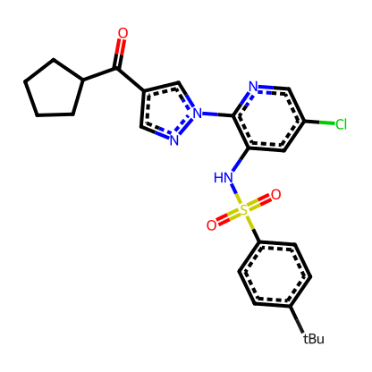 CC(C)(C)c1ccc(S(=O)(=O)Nc2cc(Cl)cnc2-n2cc(C(=O)C3CCCC3)cn2)cc1